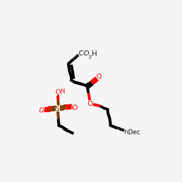 CCCCCCCCCCCCOC(=O)/C=C\C(=O)O.CCS(=O)(=O)O